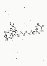 CC(C)(C)OC(=O)C1(CCCCCCCCOC2CCCCO2)CCOCC1